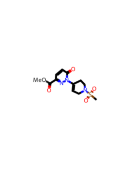 COC(=O)c1ccc(=O)n(C2=CCN(S(C)(=O)=O)CC2)n1